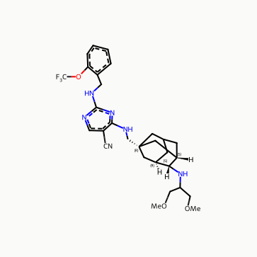 COCC(COC)N[C@@H]1[C@@H]2CC3C[C@H]1C[C@](CNc1nc(NCc4ccccc4OC(F)(F)F)ncc1C#N)(C3)C2